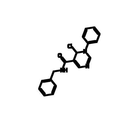 O=C(NCc1ccccc1)C1=CN=CN(c2ccccc2)C1Cl